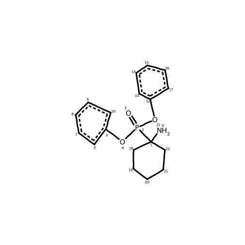 NC1(P(=O)(Oc2ccccc2)Oc2ccccc2)CCCCC1